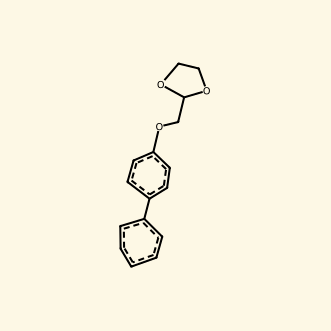 c1ccc(-c2ccc(OCC3OCCO3)cc2)cc1